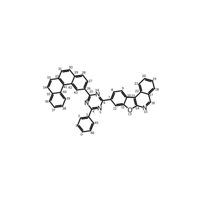 c1ccc(-c2nc(-c3ccc4c(c3)oc3ncc5ccccc5c34)nc(-c3ccc4ccc5ccc6ccccc6c5c4c3)n2)cc1